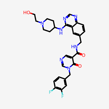 O=C(NCc1ccc2ncnc(NC3CCN(CCO)CC3)c2c1)c1cncn(Cc2ccc(F)c(F)c2)c1=O